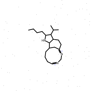 CCCCC1NC2C3CCC/C=N\C/N=C(/CCC2C1C(C)C)C3